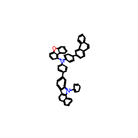 c1ccc(-n2c3cc(-c4ccc(N(c5ccc(-c6ccc7ccc8ccccc8c7c6)cc5)c5cccc6oc7ccccc7c56)cc4)ccc3c3ccc4ccccc4c32)cc1